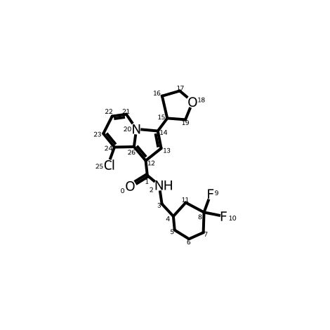 O=C(NCC1CCCC(F)(F)C1)c1cc(C2CCOC2)n2cccc(Cl)c12